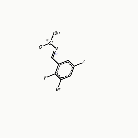 CC(C)(C)[S@+]([O-])/N=C/c1cc(F)cc(Br)c1F